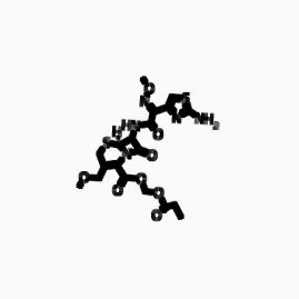 CCC(=O)OCOC(=O)C1=C(COC)CS[C@H]2C(NC(=O)C(=NOC)c3csc(N)n3)C(=O)N12